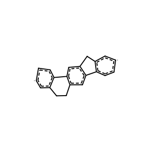 [c]1ccc2c(c1)CCc1cc3c(cc1-2)Cc1c[c]ccc1-3